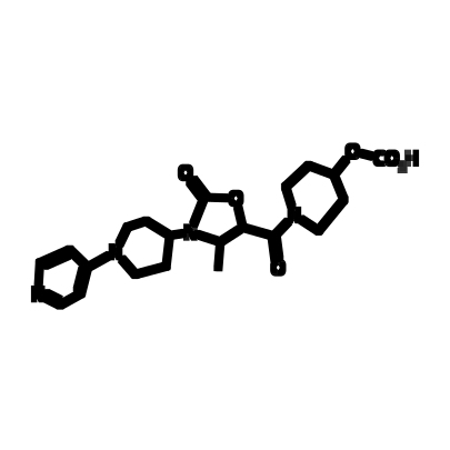 CC1C(C(=O)N2CCC(OC(=O)O)CC2)OC(=O)N1C1CCN(c2ccncc2)CC1